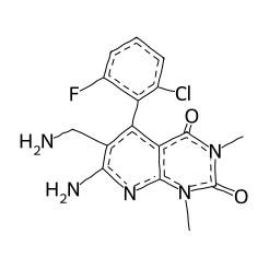 Cn1c(=O)c2c(-c3c(F)cccc3Cl)c(CN)c(N)nc2n(C)c1=O